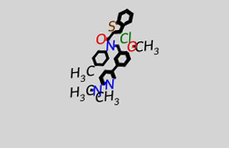 COc1ccc(-c2ccc(N(C)C)nc2)cc1CN(C(=O)c1sc2ccccc2c1Cl)[C@H]1CC[C@H](C)CC1